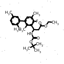 CCOC(=O)CC(NC(=O)OC(C)(C)C)c1c(C)c(-c2cc(C)ccc2C)cc(C)c1F